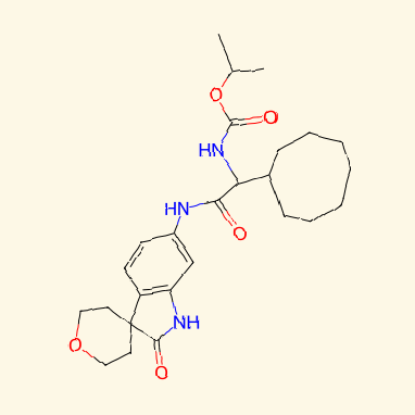 CC(C)OC(=O)NC(C(=O)Nc1ccc2c(c1)NC(=O)C21CCOCC1)C1CCCCCCC1